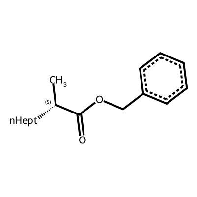 CCCCCCC[C@H](C)C(=O)OCc1ccccc1